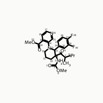 COC(=O)NC1(C(=O)C(C)C(C)C)CCCN(c2cnccc2C(=O)OC)C1c1ccc(F)c(F)c1